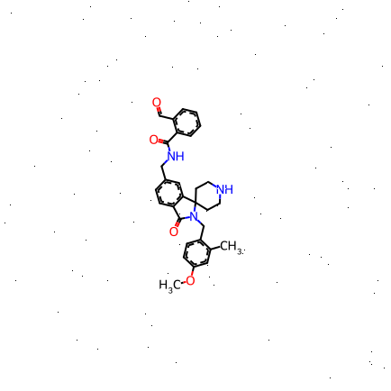 COc1ccc(CN2C(=O)c3ccc(CNC(=O)c4ccccc4C=O)cc3C23CCNCC3)c(C)c1